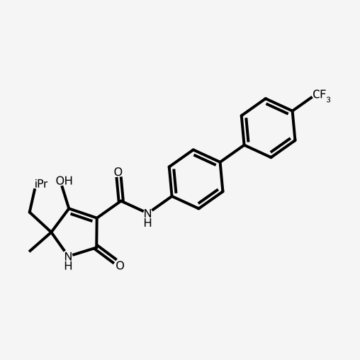 CC(C)CC1(C)NC(=O)C(C(=O)Nc2ccc(-c3ccc(C(F)(F)F)cc3)cc2)=C1O